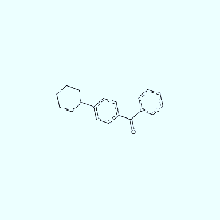 O=C(c1ccccc1)c1ccc(C2CCCCC2)cc1